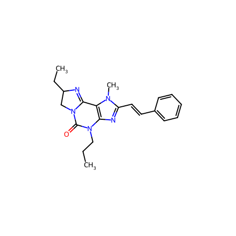 CCCN1C(=O)N2CC(CC)N=C2c2c1nc(/C=C/c1ccccc1)n2C